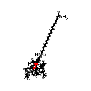 CCCC(N(CC(CCCCCCNC(=O)CCCCCCCCCCCCCCCCCCCCCC(C)N)C(C(=O)OC(C)(C)C)(C(CC)N(C)C(=O)OC(C)(C)C)N(C(=O)OC(C)(C)C)C(N)CCC)C(=O)OC(C)(C)C)N(C(=O)OC(C)(C)C)C(CC)N(C)C(=O)OC(C)(C)C